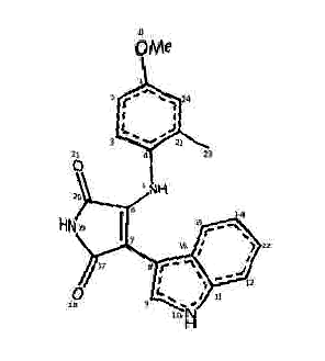 COc1ccc(NC2=C(c3c[nH]c4ccccc34)C(=O)NC2=O)c(C)c1